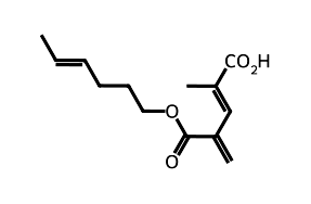 C=C(C=C(C)C(=O)O)C(=O)OCCCC=CC